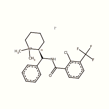 C[N+]1(C)CCCC[C@H]1C(NC(=O)c1cccc(C(F)(F)F)c1Cl)c1ccccc1.[I-]